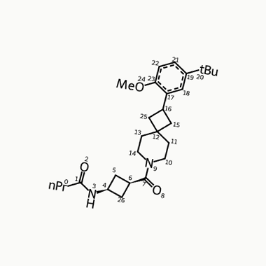 CCCC(=O)N[C@H]1C[C@@H](C(=O)N2CCC3(CC2)CC(c2cc(C(C)(C)C)ccc2OC)C3)C1